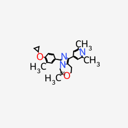 Cc1cc(-c2nc(-c3ccc(OC4CC4)c(C)c3)n3c2CCO[C@H](C)C3)cc(C)n1